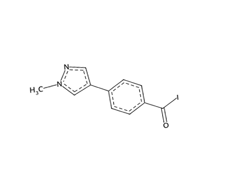 Cn1cc(-c2ccc(C(=O)I)cc2)cn1